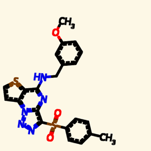 COc1cccc(CNc2nc3c(S(=O)(=O)c4ccc(C)cc4)nnn3c3ccsc23)c1